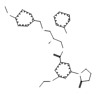 CCNc1cc(C(=O)N[C@@H](Cc2ccccc2)[C@@H](O)CNCc2ccc(OC)cc2)cc(N2CCCC2=O)c1